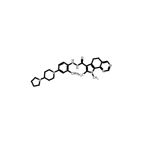 COc1cc(N2CCC(N3CCCC3)CC2)ccc1NNC(=O)c1c2c(n(C)c1C)-c1ncncc1CC2